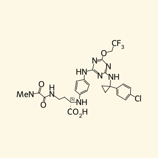 CNC(=O)C(=O)NCC[C@H](Nc1ccc(Nc2nc(NC3(c4ccc(Cl)cc4)CC3)nc(OCC(F)(F)F)n2)cc1)C(=O)O